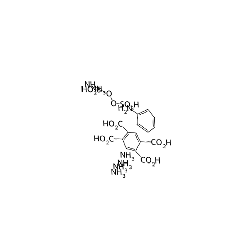 N.N.N.N.N.N.Nc1ccccc1.O=C(O)c1cc(C(=O)O)c(C(=O)O)cc1C(=O)O.O=S(=O)(O)OOS(=O)(=O)O